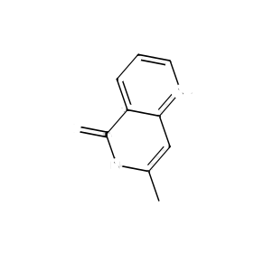 Cc1cc2ncccc2c(=O)[nH]1